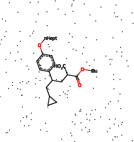 CCCCCCCOc1ccc(C(CC2CC2)CC(C(=O)O)C(=O)OC(C)CC)cc1